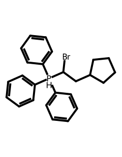 BrC(CC1CCCC1)[PH](c1ccccc1)(c1ccccc1)c1ccccc1